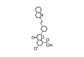 O=C(O)c1cc(Cl)cc2c(=O)cc(-c3cccc(C=Cc4ccc5ccccc5n4)c3)oc12